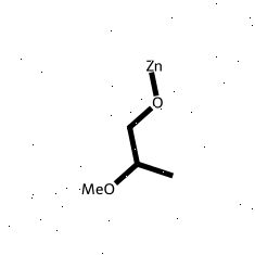 COC(C)C[O][Zn]